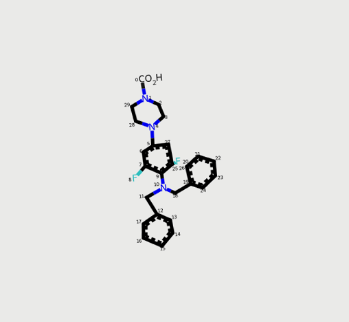 O=C(O)N1CCN(c2cc(F)c(N(Cc3ccccc3)Cc3ccccc3)c(F)c2)CC1